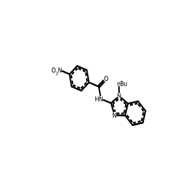 CCCCn1c(NC(=O)c2ccc([N+](=O)[O-])cc2)nc2ccccc21